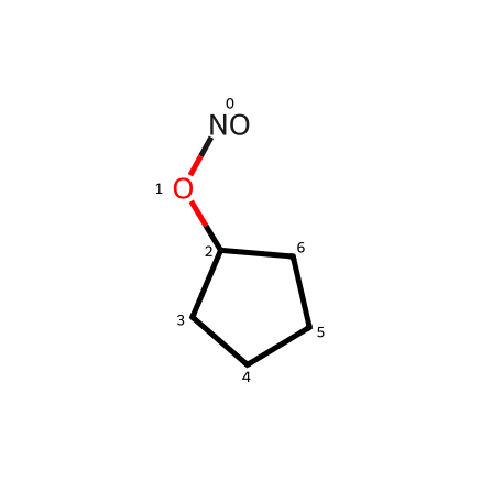 O=NOC1CCCC1